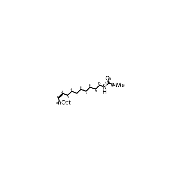 CCCCCCCC/C=C\CCCCCCCCNC(=O)NC